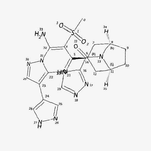 CS(=O)(=O)c1c([C@H]2C[C@H]3CC[C@@H](C2)N3C(=O)c2nnc[nH]2)nc2c(-c3cn[nH]c3)cnn2c1N